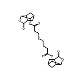 O=C(CCSSCCC(=O)OC1C2CC3C(=O)OC1C3C2)OC1C2CC3C(=O)OC1C3C2